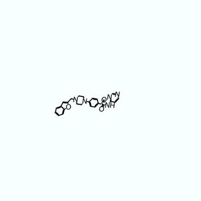 O=S(=O)(Nc1ccncn1)c1ccc(N2CCN(Cc3cc4ccccc4o3)CC2)cc1